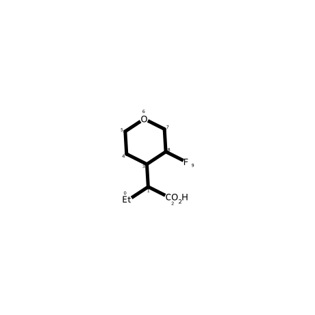 CCC(C(=O)O)C1CCOCC1F